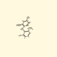 Cc1cccc(I)c1Oc1nnc(Cl)cc1O